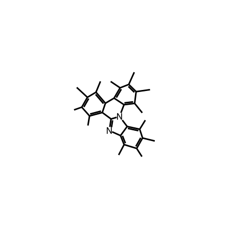 Cc1c(C)c(C)c2c(nc3c4c(C)c(C)c(C)c(C)c4c4c(C)c(C)c(C)c(C)c4n32)c1C